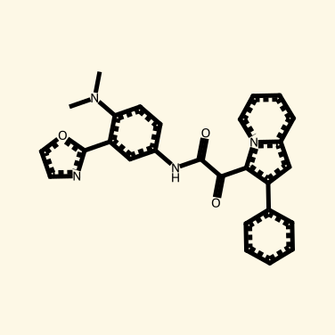 CN(C)c1ccc(NC(=O)C(=O)c2c(-c3ccccc3)cc3ccccn23)cc1-c1ncco1